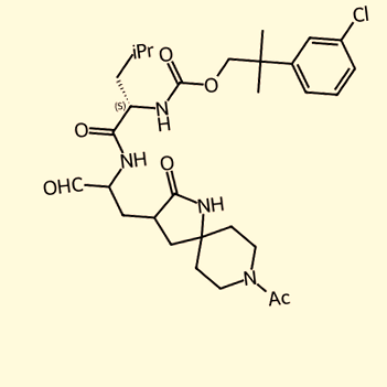 CC(=O)N1CCC2(CC1)CC(CC(C=O)NC(=O)[C@H](CC(C)C)NC(=O)OCC(C)(C)c1cccc(Cl)c1)C(=O)N2